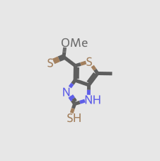 COC(=S)c1sc(C)c2[nH]c(S)nc12